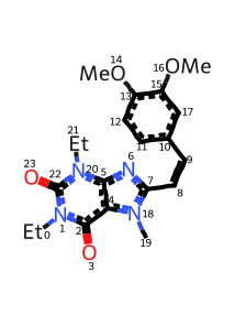 CCn1c(=O)c2c(nc(/C=C\c3ccc(OC)c(OC)c3)n2C)n(CC)c1=O